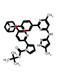 Cc1cc(Nc2cc(C)[nH]n2)nc(-c2ccc(N3CC4CC(C3)N4Cc3ccc(-c4cccn4C(=O)OC(C)(C)C)nc3)nc2)n1